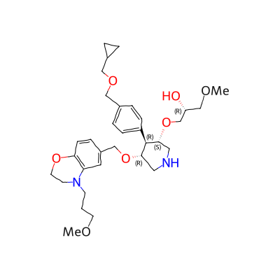 COCCCN1CCOc2ccc(CO[C@H]3CNC[C@@H](OC[C@H](O)COC)[C@@H]3c3ccc(COCC4CC4)cc3)cc21